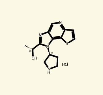 C[C@@H](O)c1nc2cnc3ccsc3c2n1[C@H]1CCNC1.Cl